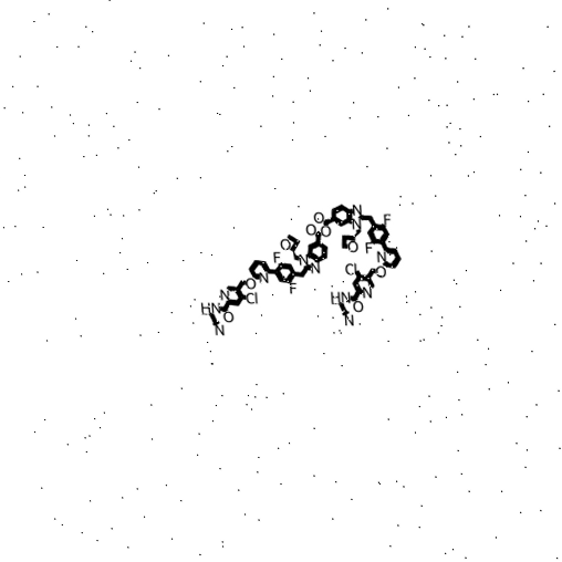 C[C@@H](C#N)NC(=O)c1cc(Cl)c(COc2cccc(-c3cc(F)c(Cc4nc5ccc(C(=O)OC(=O)c6ccc7nc(Cc8cc(F)c(-c9cccc(OCc%10cnc(C(=O)N[C@@H](C)C#N)cc%10Cl)n9)cc8F)n(C[C@@H]8CCO8)c7c6)cc5n4C[C@@H]4CCO4)cc3F)n2)cn1